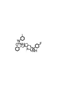 Cc1cccc(N(C)C(=O)NC(C[C@H]2CCC3=C2[C@@H](C)C2=CNN(c4ccc(F)cc4)C2=C3)c2ccccc2)c1